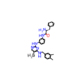 Bc1cnc(Nc2cccc(NC(=O)C(N)Cc3ccccc3)c2)nc1NCc1ccc(C)c(C)c1